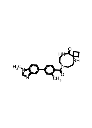 Cc1cc(-c2ccc3c(c2)ncn3C)ccc1C(=O)N1CCNC(=O)C2(CCC2)NCC1